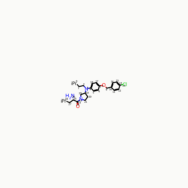 CC(C)CCN(c1ccc(OCc2ccc(Cl)cc2)cc1)C1CCN(C(=O)[C@@H](N)CC(C)C)C1